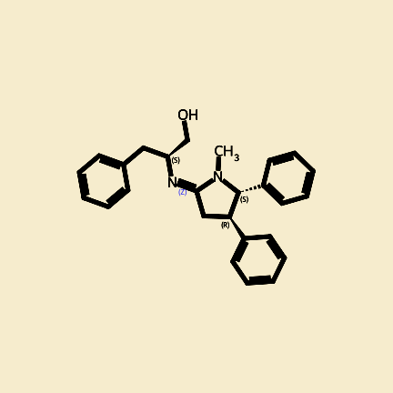 CN1/C(=N\[C@H](CO)Cc2ccccc2)C[C@H](c2ccccc2)[C@H]1c1ccccc1